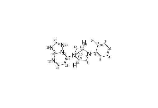 Cc1ccccc1N1C[C@@H]2C[C@H]1CN2c1ccnc2ncnn12